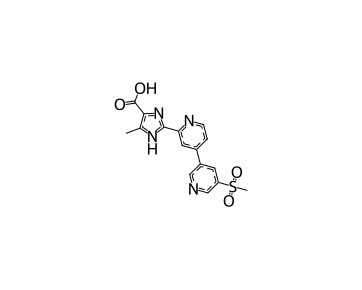 Cc1[nH]c(-c2cc(-c3cncc(S(C)(=O)=O)c3)ccn2)nc1C(=O)O